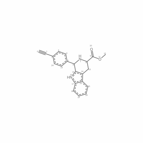 C#Cc1ccc(C2NC(C(=O)OC)Cc3c2[nH]c2ccccc32)cc1